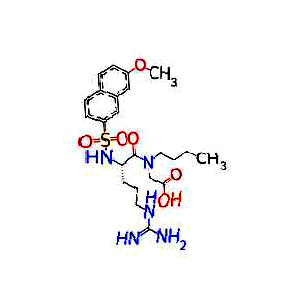 CCCCN(CC(=O)O)C(=O)[C@H](CCCNC(=N)N)NS(=O)(=O)c1ccc2ccc(OC)cc2c1